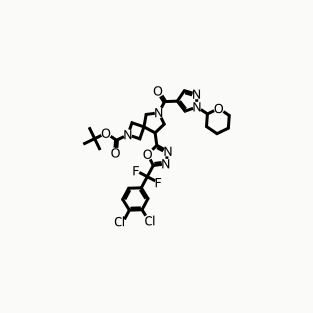 CC(C)(C)OC(=O)N1CC2(C1)CN(C(=O)c1cnn(C3CCCCO3)c1)CC2c1nnc(C(F)(F)c2ccc(Cl)c(Cl)c2)o1